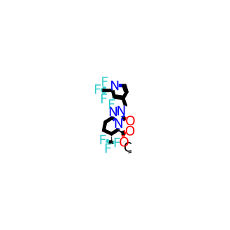 CCOC(=O)[C@H]1[C@H](C(F)(F)F)CCc2nn(Cc3ccnc(C(F)(F)F)c3F)c(=O)n21